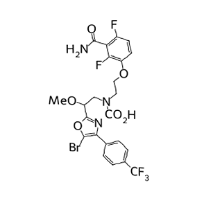 COC(CN(CCOc1ccc(F)c(C(N)=O)c1F)C(=O)O)c1nc(-c2ccc(C(F)(F)F)cc2)c(Br)o1